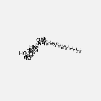 CCC=CCC=CCC=CCC=CCC=CCCCCOC(OC)C(=O)NCCNC(=O)Nc1ccc(O)c(C(=O)O)c1